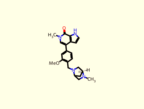 COc1cc(-c2cn(C)c(=O)c3[nH]ccc23)ccc1CN1C[C@@H]2CC1CN2C